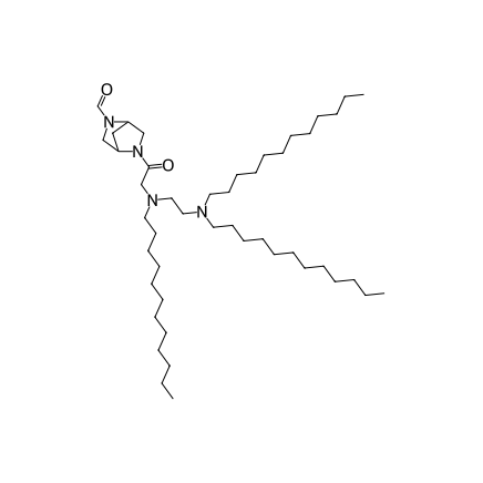 CCCCCCCCCCCCN(CCCCCCCCCCCC)CCN(CCCCCCCCCCCC)CC(=O)N1CC2CC1CN2C=O